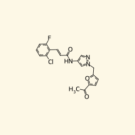 CC(=O)c1ccc(Cn2cc(NC(=O)C=Cc3c(F)cccc3Cl)cn2)o1